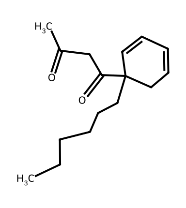 CCCCCCC1(C(=O)CC(C)=O)C=CC=CC1